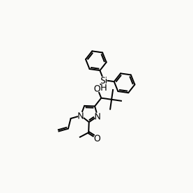 C=CCn1cc(C(O[SiH](c2ccccc2)c2ccccc2)C(C)(C)C)nc1C(C)=O